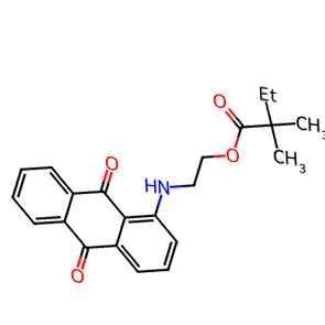 CCC(C)(C)C(=O)OCCNc1cccc2c1C(=O)c1ccccc1C2=O